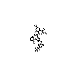 Cc1cc(Cl)cc(C(N)=O)c1NC(=O)c1cc(Cn2ncc(C(F)(F)C(F)(F)F)n2)nn1-c1ncccc1Cl